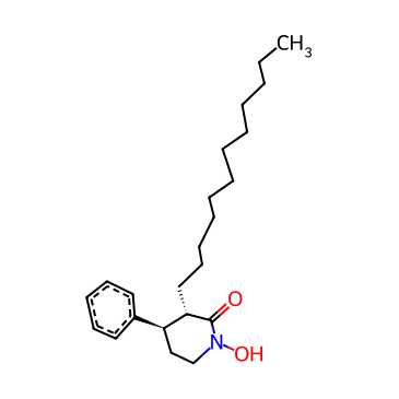 CCCCCCCCCCCC[C@@H]1C(=O)N(O)CC[C@H]1c1ccccc1